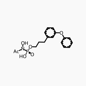 CC(=O)N(O)P(=O)(O)OCCCc1cccc(Oc2ccccc2)c1